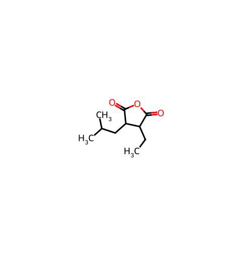 CCC1C(=O)OC(=O)C1CC(C)C